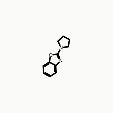 c1ccc2oc(N3CCCC3)nc2c1